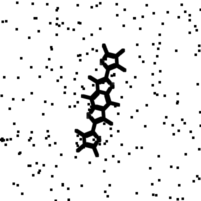 Cc1sc(-c2sc3c(C)c4c(C)c(-c5sc(C)c(C)c5C)sc4c(C)c3c2C)c(C)c1C